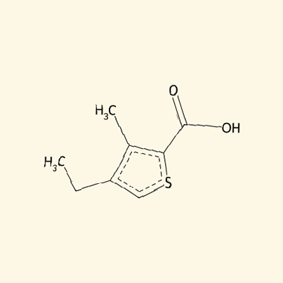 CCc1csc(C(=O)O)c1C